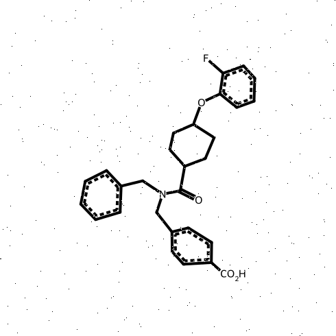 O=C(O)c1ccc(CN(Cc2ccccc2)C(=O)C2CCC(Oc3ccccc3F)CC2)cc1